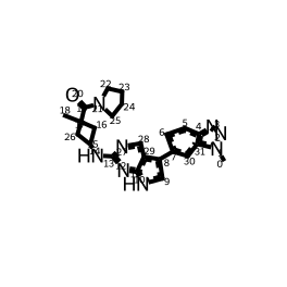 Cn1nnc2ccc(-c3c[nH]c4nc(NC5CC(C)(C(=O)N6CCCC6)C5)ncc34)cc21